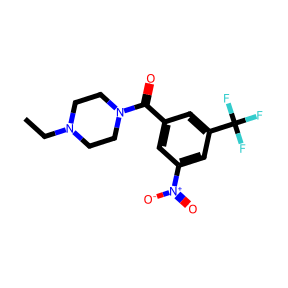 CCN1CCN(C(=O)c2cc([N+](=O)[O-])cc(C(F)(F)F)c2)CC1